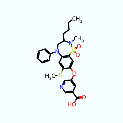 CCCCC1CN(c2ccccc2)c2cc(SC)c(Oc3cncc(C(=O)O)c3)cc2S(=O)(=O)N1C